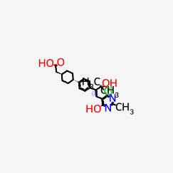 Cc1nc(O)c(/C=C(/c2ccc([C@H]3CC[C@H](CC(=O)O)CC3)cc2)C(C)(C)O)c(Cl)n1